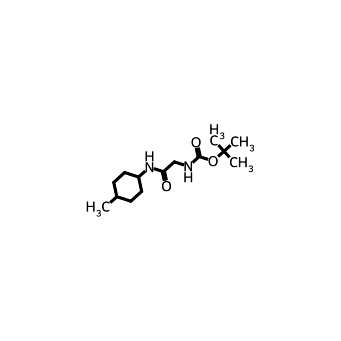 CC1CCC(NC(=O)CNC(=O)OC(C)(C)C)CC1